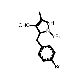 CCCCN1NC(C)=C(C=O)C1Cc1ccc(Br)cc1